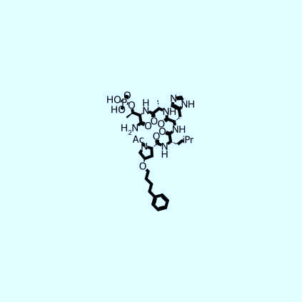 CC(=O)N1C[C@@H](OCCCCc2ccccc2)C[C@H]1C(=O)N[C@@H](CC(C)C)C(=O)N[C@@H](Cc1cnc[nH]1)C(=O)N[C@@H](C)C(=O)N[C@H](C(N)=O)[C@@H](C)OP(=O)(O)O